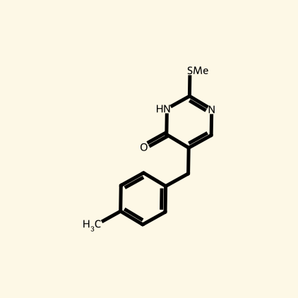 CSc1ncc(Cc2ccc(C)cc2)c(=O)[nH]1